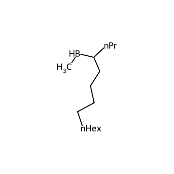 CBC(CCC)CCCCCCCCCC